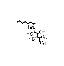 CCCCCCC(C)NC[C@H](O)[C@@H](O)[C@H](O)[C@H](O)CO